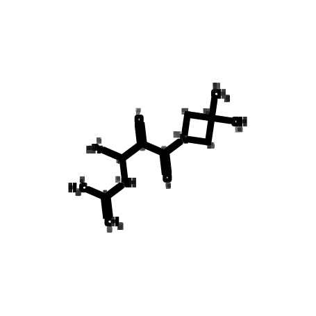 C=C(C)NC(CCC)C(=O)C(=O)N1CC(C)(O)C1